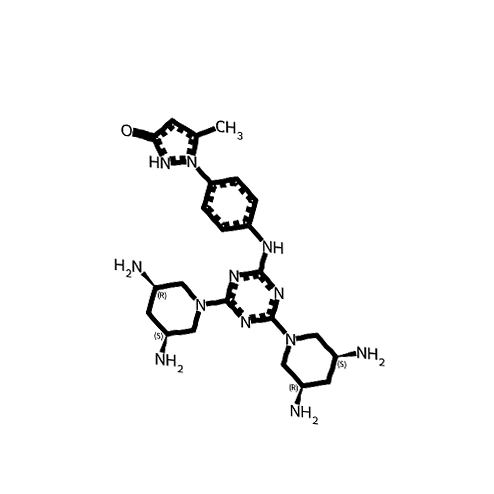 Cc1cc(=O)[nH]n1-c1ccc(Nc2nc(N3C[C@H](N)C[C@H](N)C3)nc(N3C[C@H](N)C[C@H](N)C3)n2)cc1